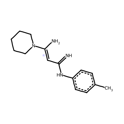 Cc1ccc(NC(=N)/C=C(\N)N2CCCCC2)cc1